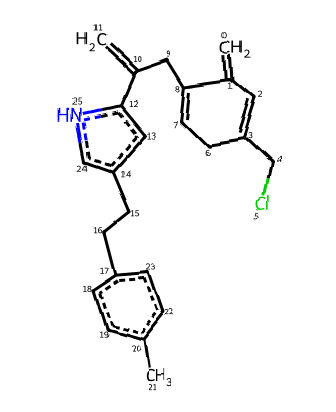 C=C1C=C(CCl)CC=C1CC(=C)c1cc(CCc2ccc(C)cc2)c[nH]1